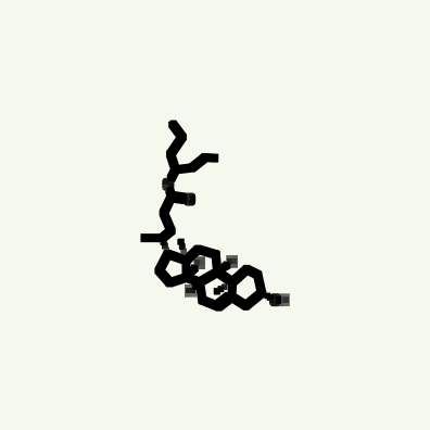 CCCC(CCC)OC(=O)CCC(C)[C@H]1CC[C@H]2[C@@H]3CC=C4C[C@@H](O)CC[C@]4(C)[C@H]3CC[C@]12C